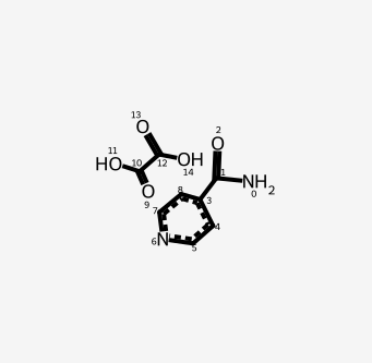 NC(=O)c1ccncc1.O=C(O)C(=O)O